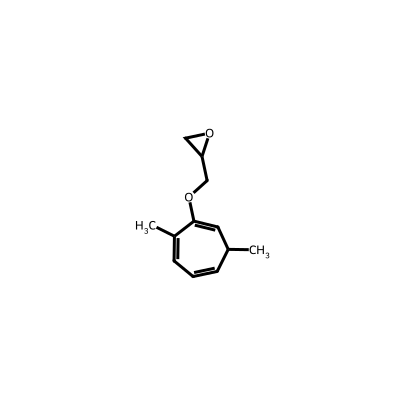 CC1=CC=CC(C)C=C1OCC1CO1